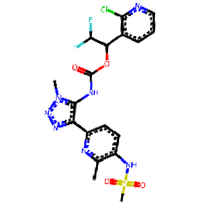 Cc1nc(-c2nnn(C)c2NC(=O)OC(c2cccnc2Cl)C(F)F)ccc1NS(C)(=O)=O